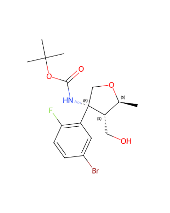 C[C@@H]1OC[C@](NC(=O)OC(C)(C)C)(c2cc(Br)ccc2F)[C@H]1CO